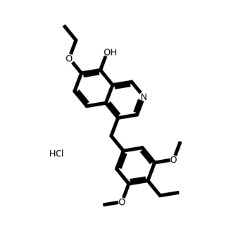 CCOc1ccc2c(Cc3cc(OC)c(CC)c(OC)c3)cncc2c1O.Cl